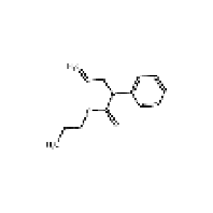 C=CCN(C(=O)OCCC)c1ccccc1